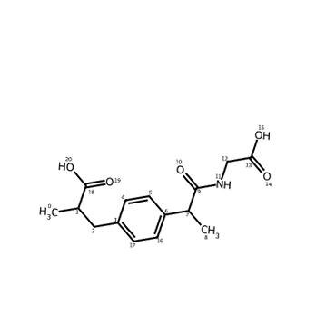 CC(Cc1ccc(C(C)C(=O)NCC(=O)O)cc1)C(=O)O